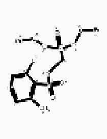 Cc1cccc(Cl)c1S(=O)(=O)OCP(=O)(OOC(C)C)OOC(C)C